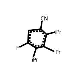 CC(C)c1c(F)cc(C#N)c(C(C)C)c1C(C)C